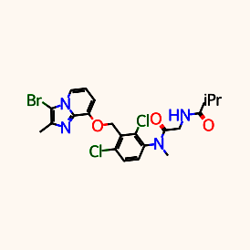 Cc1nc2c(OCc3c(Cl)ccc(N(C)C(=O)CNC(=O)C(C)C)c3Cl)cccn2c1Br